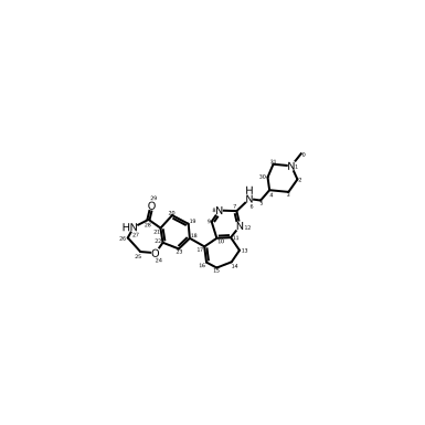 CN1CCC(CNc2ncc3c(n2)CCCC=C3c2ccc3c(c2)OCCNC3=O)CC1